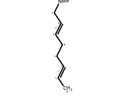 C/C=C/CC/C=C/CNC